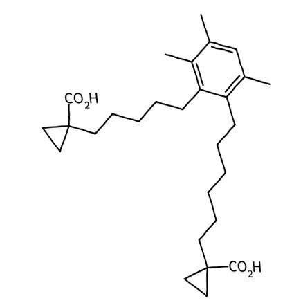 Cc1cc(C)c(CCCCCCC2(C(=O)O)CC2)c(CCCCCC2(C(=O)O)CC2)c1C